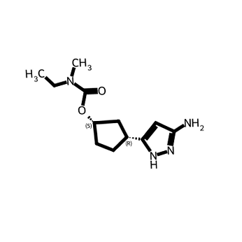 CCN(C)C(=O)O[C@H]1CC[C@@H](c2cc(N)n[nH]2)C1